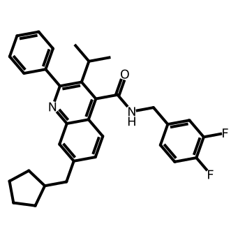 CC(C)c1c(-c2ccccc2)nc2cc(CC3CCCC3)ccc2c1C(=O)NCc1ccc(F)c(F)c1